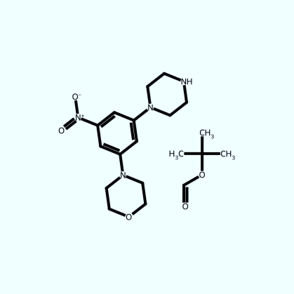 CC(C)(C)OC=O.O=[N+]([O-])c1cc(N2CCNCC2)cc(N2CCOCC2)c1